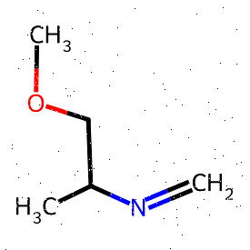 C=NC(C)COC